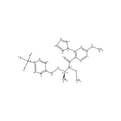 CCN(C(=O)c1ccc(OC)cc1-n1nccn1)[C@@H](C)COc1ncc(C(F)(F)F)cn1